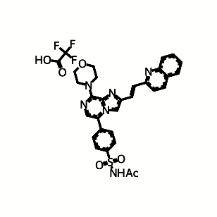 CC(=O)NS(=O)(=O)c1ccc(-c2cnc(N3CCOCC3)c3nc(/C=C/c4ccc5ccccc5n4)cn23)cc1.O=C(O)C(F)(F)F